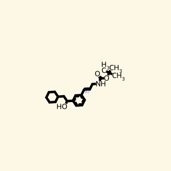 CC(C)(C)OC(=O)NC/C=C/c1cccc(C(O)CC2CCCCC2)c1